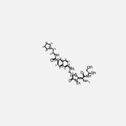 CCCC(CO)NC(=O)/C(N)=C1\S[C@H](CNc2ccc3cc(C(=O)NCCN4CCCC4)ccc3c2)C(=O)N1CC